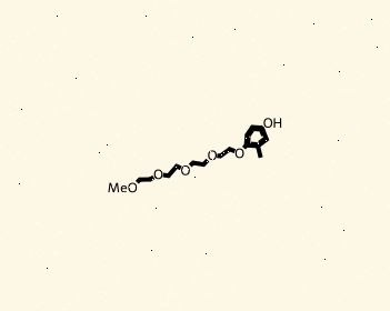 COCCOCCOCCOCCOc1ccc(O)cc1C